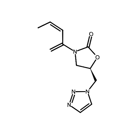 C=C(/C=C\C)N1C[C@H](Cn2ccnn2)OC1=O